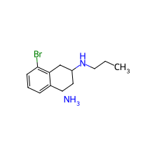 CCCNC1CCc2cccc(Br)c2C1.N